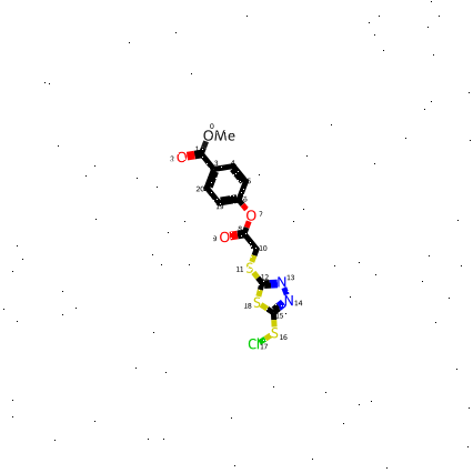 COC(=O)c1ccc(OC(=O)CSc2nnc(SCl)s2)cc1